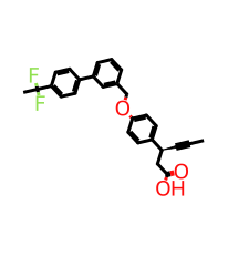 CC#C[C@@H](CC(=O)O)c1ccc(OCc2cccc(-c3ccc(C(C)(F)F)cc3)c2)cc1